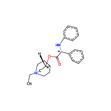 N#CC[N+]12CCC(CC1)[C@@H](OC(=O)[C@H](Nc1ccccc1)c1ccccc1)C2